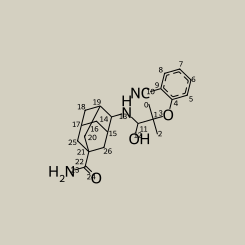 CC(C)(Oc1ccccc1C#N)C(O)NC1C2CC3CC1CC(C(N)=O)(C3)C2